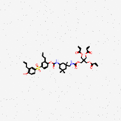 C=CCc1cc(S(=O)(=O)c2ccc(OC(=O)NC3CC(C)(C)CC(C)(CNC(=O)OCC(COC(=O)C=C)(COC(=O)C=C)COC(=O)C=C)C3)c(CC=C)c2)ccc1O